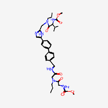 CCCN(CC(=O)NCc1ccc(-c2ccc(-c3cnc(CN(CCC)C(=O)C(NC(=O)OC)C(C)C)[nH]3)cc2)cc1)C(=O)CNC(=O)OC